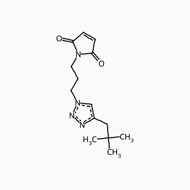 CC(C)(C)Cc1cn(CCCN2C(=O)C=CC2=O)nn1